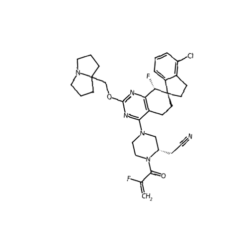 C=C(F)C(=O)N1CCN(c2nc(OCC34CCCN3CCC4)nc3c2CC[C@@]2(CCc4c(Cl)cccc42)[C@H]3F)C[C@@H]1CC#N